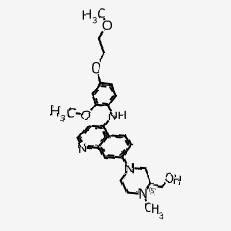 COCCOc1ccc(Nc2ccnc3cc(N4CCN(C)[C@H](CO)C4)ccc23)c(OC)c1